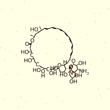 C[C@@H]1[C@H](O)[C@@H](C)/C=C/C=C/C=C/C=C/C=C/C=C/C=C/[C@H](O[C@@H]2O[C@H](C)[C@@H](O)[C@H](N)[C@@H]2O)C[C@@H]2O[C@](O)(C[C@@H](O)C[C@@H](O)[C@H](O)CC[C@@H](O)C[C@@H](O)CC(=O)O[C@H]1C)C[C@H](O)[C@H]2C(=O)N1CC[C@H](O)C1